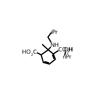 CC(C)CNC1(C)C(C(=O)O)=CC=CC1C(=O)O.CCCO